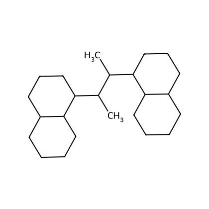 CC(C(C)C1CCCC2CCCCC21)C1CCCC2CCCCC21